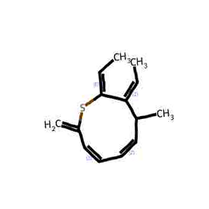 C=C1/C=C\C=C/C(C)C(=C/C)/C(=C\C)S1